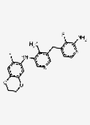 Cc1c(Cc2ccnc(N)c2F)cncc1Nc1cc2c(cc1F)OCCO2